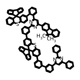 CC1(C)c2ccccc2-c2ccc(-c3cc(-c4ccccc4-c4ccc5c(c4)C4(c6ccccc6S5)c5ccccc5-c5ccccc54)nc(-c4cccc(-c5ccc6c(c5)Sc5ccc(-c7cccc(-c8cccc(-c9cc(-c%10ccccc%10)nc(-c%10ccccc%10)n9)c8)c7)cc5C65c6ccccc6-c6ccccc65)c4)n3)cc21